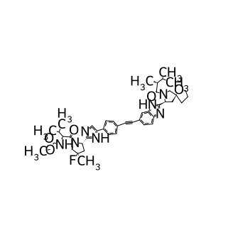 COC(=O)N[C@H](C(=O)N1C[C@](C)(F)C[C@H]1c1ncc(-c2ccc(C#Cc3ccc4nc([C@@H]5C[C@@]6(CCCO6)CN5C(=O)[C@@H](C)C(C)C)[nH]c4c3)cc2)[nH]1)C(C)C